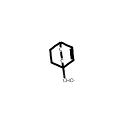 O=[C]C12C=CC(CC1)CC2